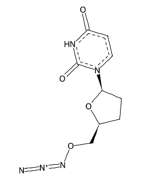 [N-]=[N+]=NOC[C@@H]1CC[C@H](n2ccc(=O)[nH]c2=O)O1